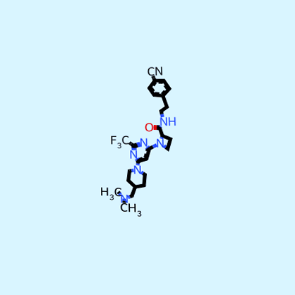 CN(C)CC1CCN(c2cc(N3CCC3C(=O)NCCc3ccc(C#N)cc3)nc(C(F)(F)F)n2)CC1